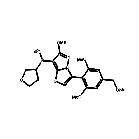 CCCN(c1c(OC)nn2c(-c3c(OC)cc(COC)cc3OC)csc12)C1CCOC1